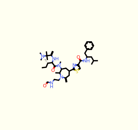 C=C1CC(c2nc(C(=O)NC(Cc3ccccc3)CC(C)C)cs2)CC(N(C)C(=O)C(NC(=C)C(C)(C)N(C)C)[C@@H](C)CC)C(C)N1CCNC=O